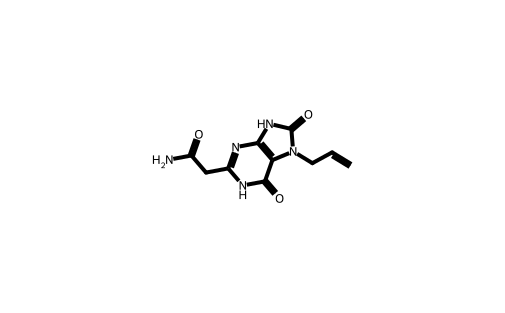 C=CCn1c(=O)[nH]c2nc(CC(N)=O)[nH]c(=O)c21